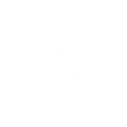 [O]CCCOS(=O)(=O)c1ccccc1